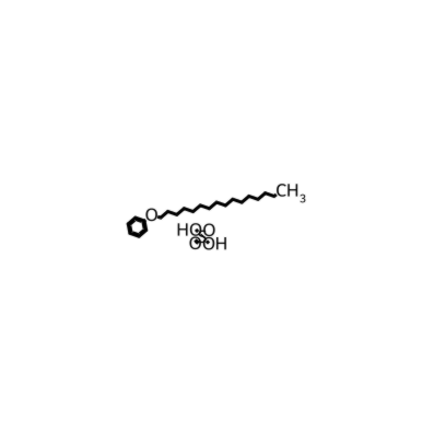 CCCCCCCCCCCCCCCCOc1ccccc1.O=S(=O)(O)O